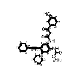 CC(C)(C)OC(=O)Nc1cc(N2CCOCC2)c(C#Cc2ccccc2)cc1NC(=O)CC(=O)c1cccc(C#N)c1